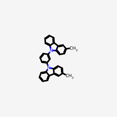 Cc1ccc2c(c1)c1ccccc1n2-c1cccc(-n2c3ccccc3c3cc(C)ccc32)c1